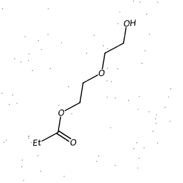 CCC(=O)OCCOCCO